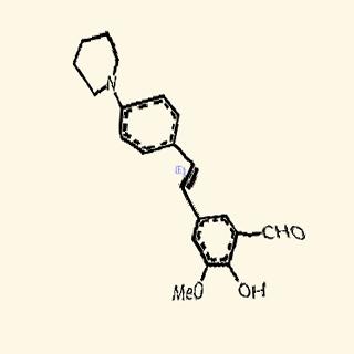 COc1cc(/C=C/c2ccc(N3CCCCC3)cc2)cc(C=O)c1O